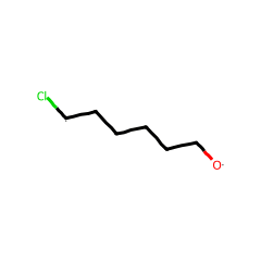 [O]CCCCC[CH]Cl